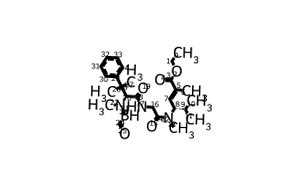 CCOC(=O)/C(C)=C/[C@H](C(C)C)N(C)C(=O)CNC(=O)[C@@H](N(C)BC=O)C(C)(C)c1ccccc1